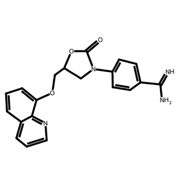 N=C(N)c1ccc(N2CC(COc3cccc4cccnc34)OC2=O)cc1